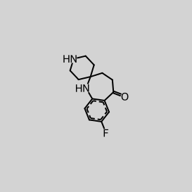 O=C1CCC2(CCNCC2)Nc2ccc(F)cc21